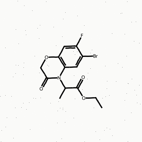 CCOC(=O)C(C)N1C(=O)COc2cc(F)c(Br)cc21